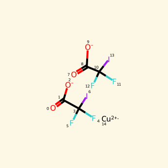 O=C([O-])C(F)(F)I.O=C([O-])C(F)(F)I.[Cu+2]